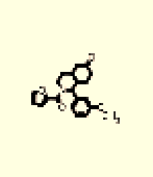 COc1cccc(C2C3CCC(=O)CC3CCN2C(=O)c2ccco2)c1